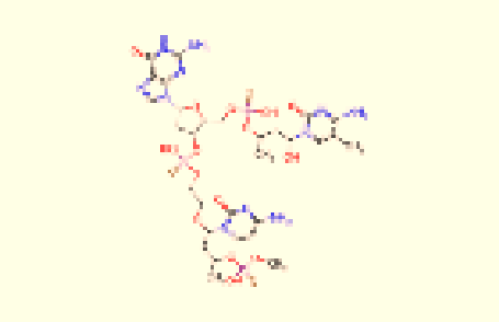 COP(O)(=S)OC(C)CC(OCCOP(O)(=S)OC1C[C@H](n2cnc3c(=O)[nH]c(N)nc32)O[C@@H]1COP(O)(=S)OC(C)C[C@@H](O)n1cc(C)c(N)nc1=O)n1ccc(N)nc1=O